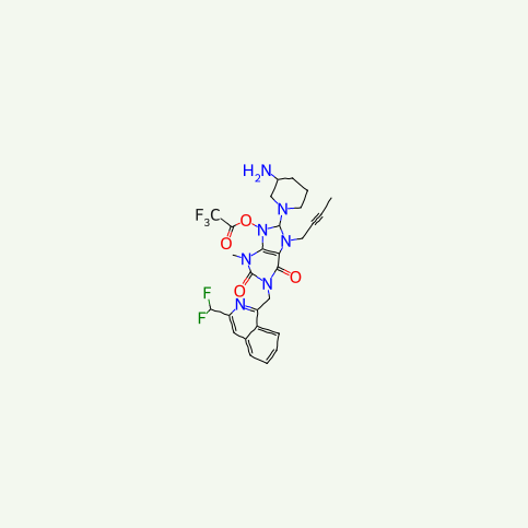 CC#CCN1c2c(n(C)c(=O)n(Cc3nc(C(F)F)cc4ccccc34)c2=O)N(OC(=O)C(F)(F)F)C1N1CCCC(N)C1